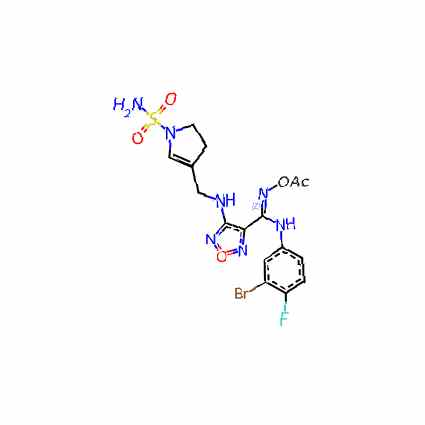 CC(=O)O/N=C(\Nc1ccc(F)c(Br)c1)c1nonc1NCC1=CN(S(N)(=O)=O)CC1